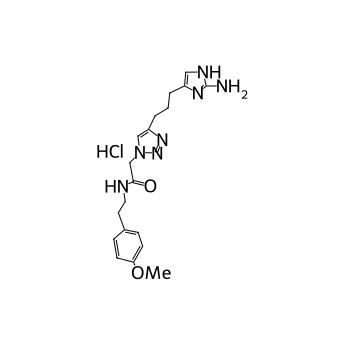 COc1ccc(CCNC(=O)Cn2cc(CCCc3c[nH]c(N)n3)nn2)cc1.Cl